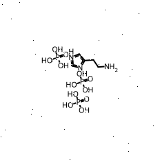 NCCc1c[nH]cn1.O=P(O)(O)O.O=P(O)(O)O.O=P(O)(O)O